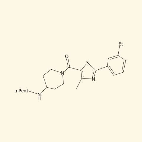 CCCCCNC1CCN(C(=O)c2sc(-c3cccc(CC)c3)nc2C)CC1